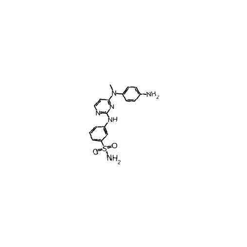 CN(c1ccc(N)cc1)c1ccnc(Nc2cccc(S(N)(=O)=O)c2)n1